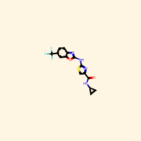 O=C(NC1CC1)c1csc(Nc2nc3ccc(C(F)(F)F)cc3o2)n1